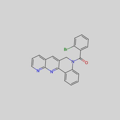 O=C(c1ccccc1Br)N1Cc2cc3cccnc3nc2-c2ccccc21